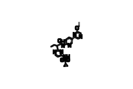 CCOc1cncc(-c2ccc(NC(=O)C(CC)c3nccc(NS(=O)(=O)C4CC4)n3)nc2)n1